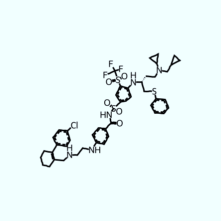 O=C(NS(=O)(=O)c1ccc(N[C@H](CCN(CC2CC2)C2CC2)CSc2ccccc2)c(S(=O)(=O)C(F)(F)F)c1)c1ccc(NCCNCC2=C(c3ccc(Cl)cc3)CCCC2)cc1